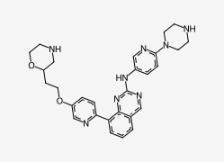 c1cc(-c2ccc(OCCC3CNCCO3)cn2)c2nc(Nc3ccc(N4CCNCC4)nc3)ncc2c1